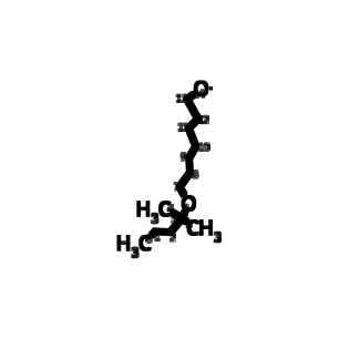 CCCC(C)(C)OCCCCCCC[O]